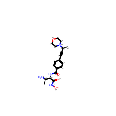 C[C@@H](N)[C@H](NC(=O)c1ccc(C#C[C@H](C)N2CCOCC2)cc1)C(=O)NO